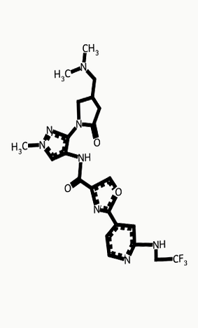 CN(C)CC1CC(=O)N(c2nn(C)cc2NC(=O)c2coc(-c3ccnc(NCC(F)(F)F)c3)n2)C1